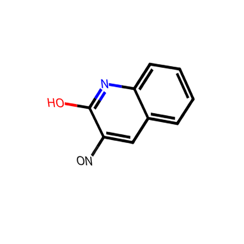 O=Nc1cc2ccccc2nc1O